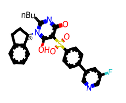 CCCCc1nc(=O)c(S(=O)(=O)c2ccc(-c3cncc(F)c3)cc2)c(O)n1[C@H]1CCc2ccccc21